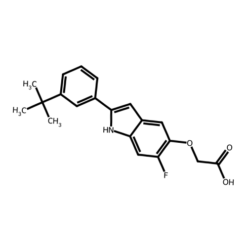 CC(C)(C)c1cccc(-c2cc3cc(OCC(=O)O)c(F)cc3[nH]2)c1